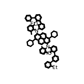 CCc1ccccc1-c1cccc(-c2cccc(N(c3c(C)cccc3C)c3cc(C4CCCCC4)c4ccc5c(N(c6c(C)cccc6C)c6cccc7c6oc6c(-c8ccccc8CC)cccc67)cc(C6CCCCC6)c6ccc3c4c65)c2O)c1